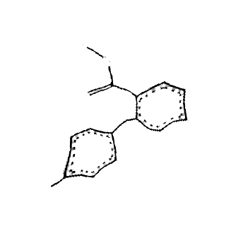 O=C(NO)c1ccccc1-c1ccc(F)cc1